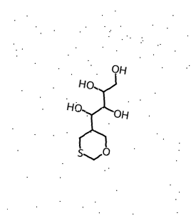 OCC(O)C(O)C(O)C1COCSC1